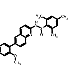 COc1ccccc1-c1ccc2nc(N[S+]([O-])c3c(C)cc(C)cc3C)ccc2c1